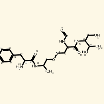 CC(CSSCC(NC=O)C(=O)NC(CO)C(C)O)NC(=O)C(N)Cc1ccccc1